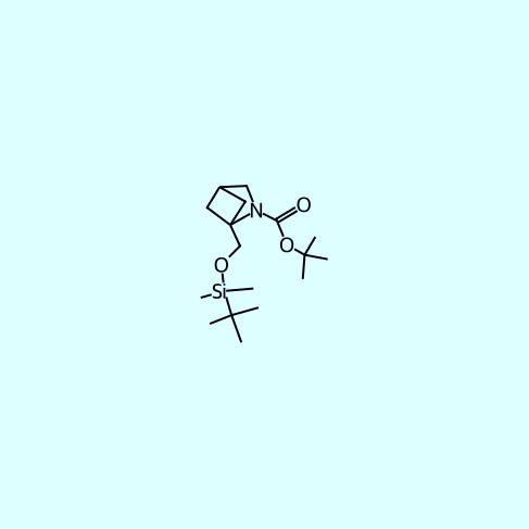 CC(C)(C)OC(=O)N1CC2CC1(CO[Si](C)(C)C(C)(C)C)C2